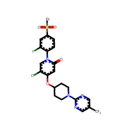 CCS(=O)(=O)c1ccc(-n2cc(Cl)c(OC3CCN(c4ncc(C(F)(F)F)cn4)CC3)cc2=O)c(F)c1